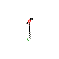 CC(C)CC(COCCCCCCCCCCCCCCCCl)OCc1ccccc1